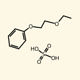 CCOCCOc1ccccc1.O=S(=O)(O)O